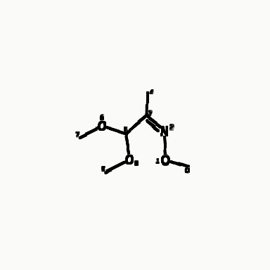 CON=C(C)C(OC)OC